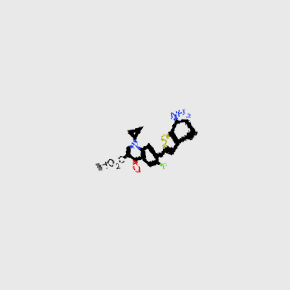 NC1CCCc2cc(-c3cc4c(cc3F)c(=O)c(C(=O)O)cn4C3CC3)sc21